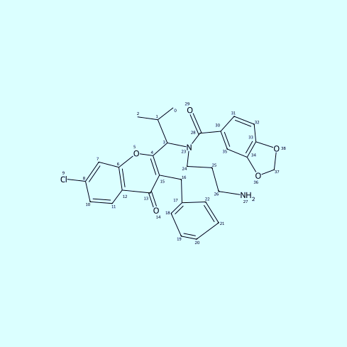 CC(C)C(c1oc2cc(Cl)ccc2c(=O)c1Cc1ccccc1)N(CCCN)C(=O)c1ccc2c(c1)OCO2